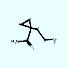 NC(=O)C1(CCO)CC1